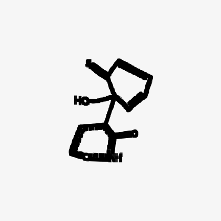 O=c1[nH]cccc1C1(O)C=CC=CC1=S